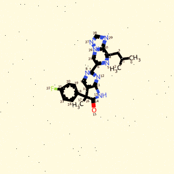 CC(C)Cc1nc(-c2ncc3c(n2)NC(=O)C3(C)c2ccc(F)cc2)cn2ncnc12